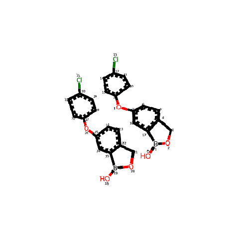 OB1OCc2ccc(Oc3ccc(Cl)cc3)cc21.OB1OCc2ccc(Oc3ccc(Cl)cc3)cc21